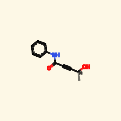 C[C@@H](O)C#CC(=O)Nc1ccccc1